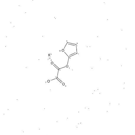 O=C([O-])C(=O)Oc1ccco1.[K+]